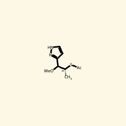 COC(c1cc[nH]n1)[C@@H](C)SC(C)=O